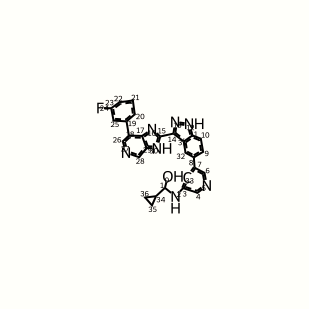 OC(Nc1cncc(-c2ccc3[nH]nc(-c4nc5c(-c6cccc(F)c6)cncc5[nH]4)c3c2)c1)C1CC1